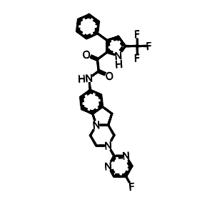 O=C(Nc1ccc2c(c1)CC1CN(c3ncc(F)cn3)CCN21)C(=O)c1[nH]c(C(F)(F)F)cc1-c1ccccc1